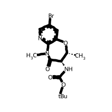 C[C@H]1Oc2cc(Br)cnc2N(C)C(=O)[C@H]1NC(=O)OC(C)(C)C